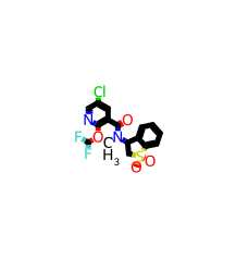 CN(C(=O)c1cc(Cl)cnc1OC(F)F)C1CS(=O)(=O)c2ccccc21